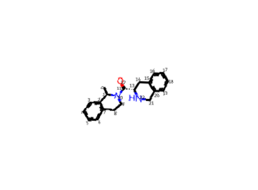 CC1c2ccccc2CCN1C(=O)[C@@H]1Cc2ccccc2CN1